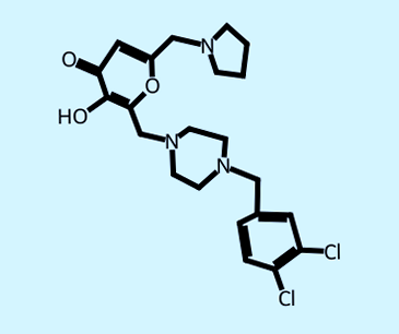 O=c1cc(CN2CCCC2)oc(CN2CCN(Cc3ccc(Cl)c(Cl)c3)CC2)c1O